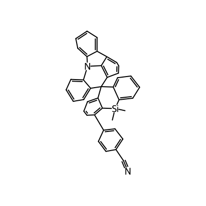 C[Si]1(C)c2ccccc2C2(c3ccccc3-n3c4ccccc4c4cccc2c43)c2cccc(-c3ccc(C#N)cc3)c21